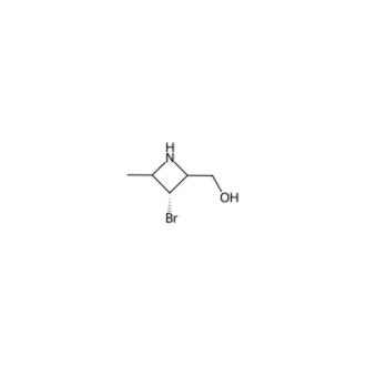 CC1NC(CO)[C@@H]1Br